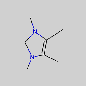 CC1=C(C)N(C)CN1C